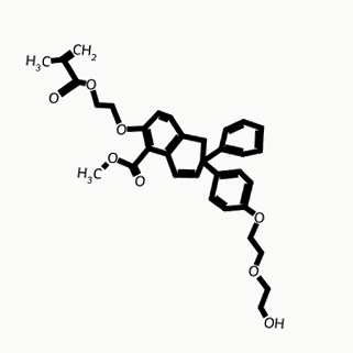 C=C(C)C(=O)OCCOc1ccc2c(c1C(=O)OC)C=CC(c1ccccc1)(c1ccc(OCCOCCO)cc1)C2